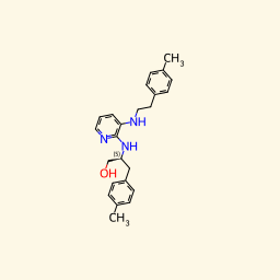 Cc1ccc(CCNc2cccnc2N[C@H](CO)Cc2ccc(C)cc2)cc1